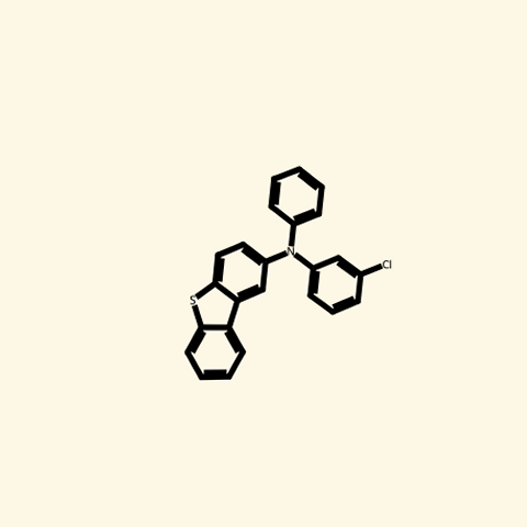 Clc1cccc(N(c2ccccc2)c2ccc3sc4ccccc4c3c2)c1